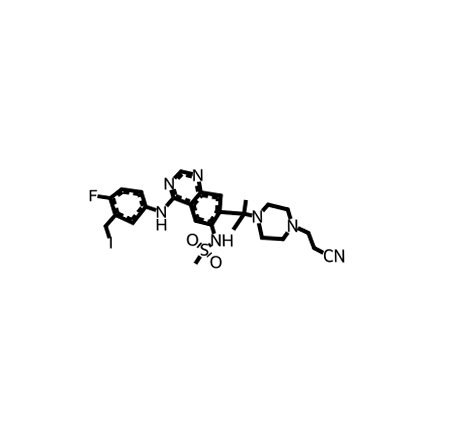 CC(C)(c1cc2ncnc(Nc3ccc(F)c(CI)c3)c2cc1NS(C)(=O)=O)N1CCN(CCC#N)CC1